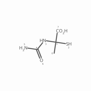 CC(S)(NC(N)=O)C(=O)O